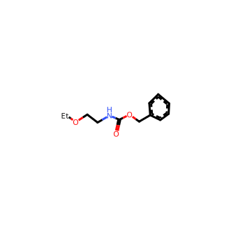 CCOCCNC(=O)OCc1ccccc1